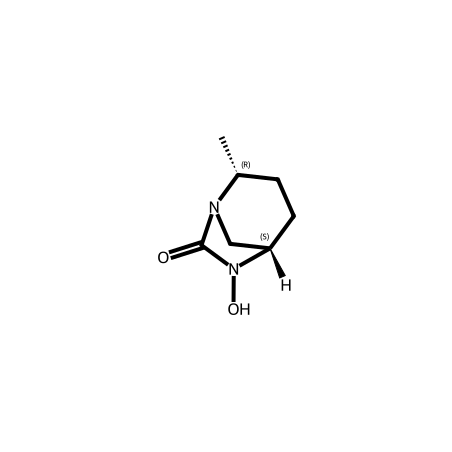 C[C@@H]1CC[C@H]2CN1C(=O)N2O